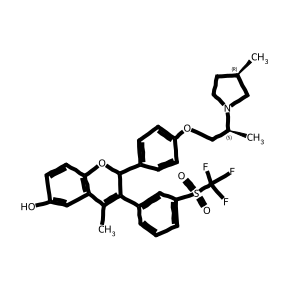 CC1=C(c2cccc(S(=O)(=O)C(F)(F)F)c2)C(c2ccc(OC[C@H](C)N3CC[C@@H](C)C3)cc2)Oc2ccc(O)cc21